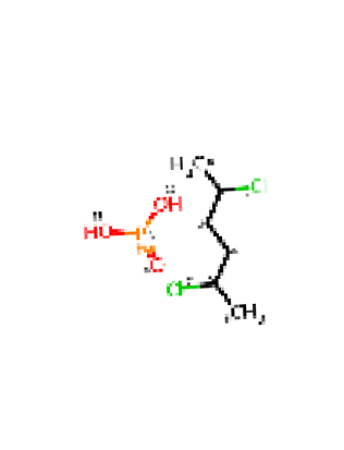 CC(Cl)CCC(C)Cl.O=[PH](O)O